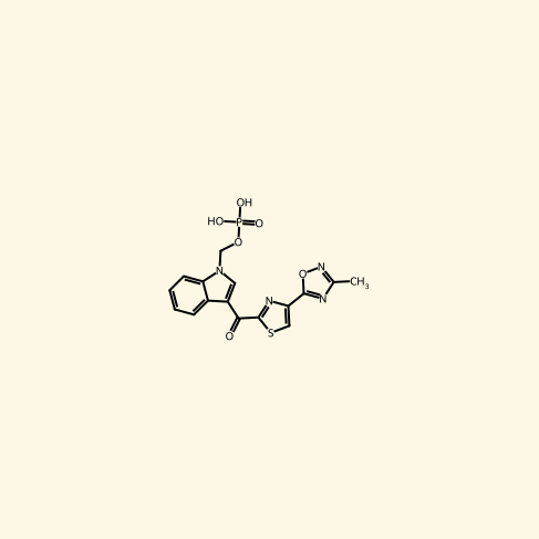 Cc1noc(-c2csc(C(=O)c3cn(COP(=O)(O)O)c4ccccc34)n2)n1